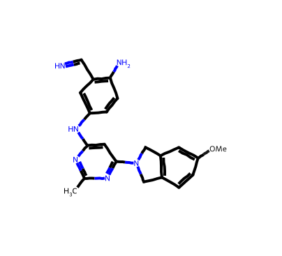 COc1ccc2c(c1)CN(c1cc(Nc3ccc(N)c(C=N)c3)nc(C)n1)C2